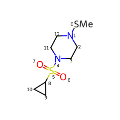 CSN1CCN(S(=O)(=O)C2CC2)CC1